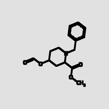 COC(=O)C1CC(OC=O)CCN1Cc1ccccc1